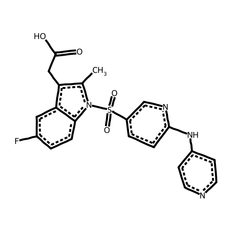 Cc1c(CC(=O)O)c2cc(F)ccc2n1S(=O)(=O)c1ccc(Nc2ccncc2)nc1